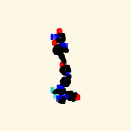 Cc1nn(C2CCC(=O)NC2=O)c2cccc(C#CCOC3CCN(CC4CCC(n5cc(-n6nccc6N6CCC7(COC7)C6)c(C(F)F)n5)CC4)CC3)c12